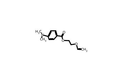 C=COCCOC(=O)c1ccc(N(C)C)cc1